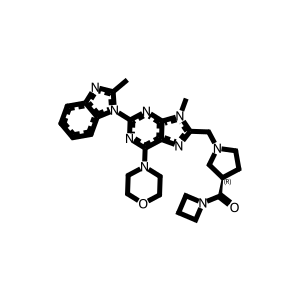 Cc1nc2ccccc2n1-c1nc(N2CCOCC2)c2nc(CN3CC[C@@H](C(=O)N4CCC4)C3)n(C)c2n1